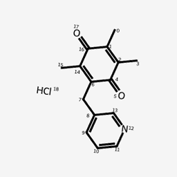 CC1=C(C)C(=O)C(Cc2cccnc2)=C(C)C1=O.Cl